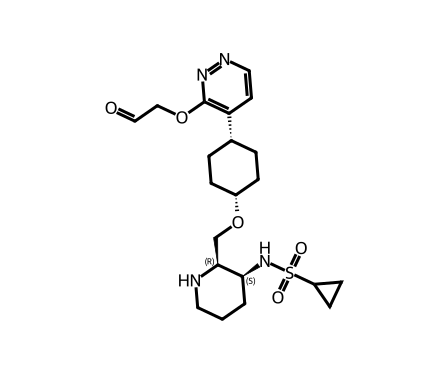 O=CCOc1nnccc1[C@H]1CC[C@@H](OC[C@@H]2NCCC[C@@H]2NS(=O)(=O)C2CC2)CC1